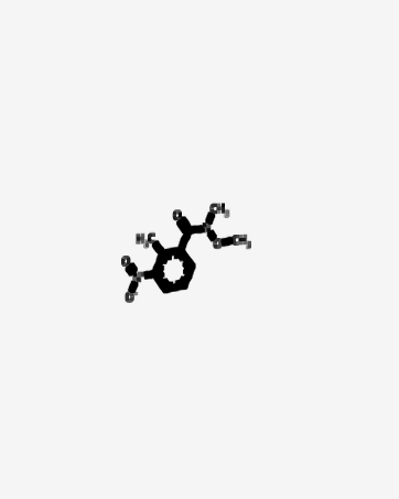 CON(C)C(=O)c1cccc([N+](=O)[O-])c1C